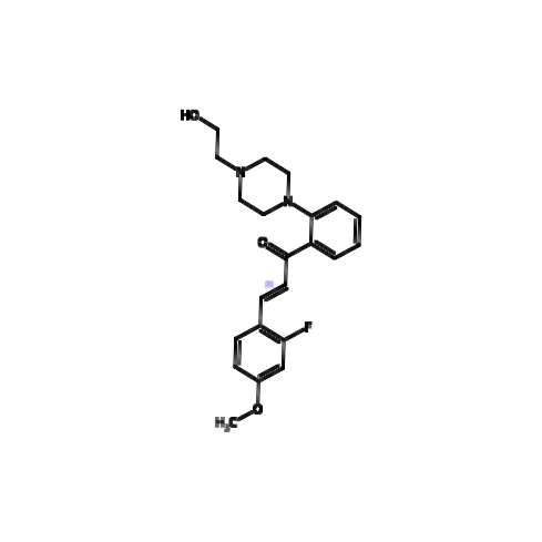 COc1ccc(/C=C/C(=O)c2ccccc2N2CCN(CCO)CC2)c(F)c1